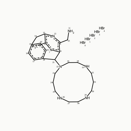 Br.Br.Br.Br.Br.Cc1nc2c(CN)nc1Cc1ccc(cc1)C2N1CCCNCCNCCCNCC1